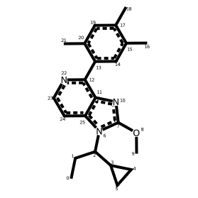 CCC(C1CC1)n1c(OC)nc2c(-c3cc(C)c(C)cc3C)nccc21